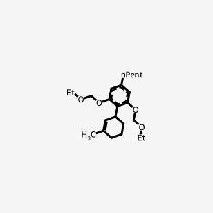 CCCCCc1cc(OCOCC)c(C2C=C(C)CCC2)c(OCOCC)c1